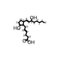 CCCCCC(O)C=CC1CCC(O)C1CC=CCCC(=O)O